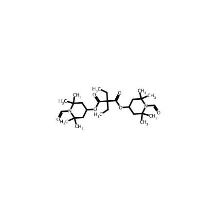 CCC(CC)(C(=O)OC1CC(C)(C)N(C=O)C(C)(C)C1)C(=O)OC1CC(C)(C)N(C=O)C(C)(C)C1